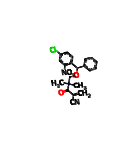 C=C(C#N)C(=O)C(C)(C)COC(c1ccccc1)c1ccc(Cl)cc1[N+](=O)[O-]